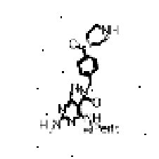 CCC[C@@H](C)Nc1nc(N)nc2cnn(Cc3ccc(C(=O)N4CCNCC4)cc3)c(=O)c12